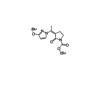 CC[C@@H](C)Oc1ccn(/C(C)=C2/CCN(C(=O)OC(C)(C)C)C2=O)n1